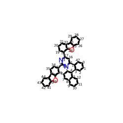 c1ccc(-c2cccc3ccccc23)c(-c2cc(-c3cccc4c3oc3ccccc34)nc(-c3ccc4c(c3)oc3ccccc34)n2)c1